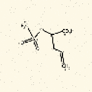 C=CCC(OS(=O)(=O)C(F)(F)F)C(=O)O